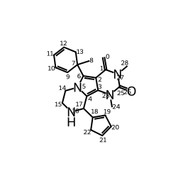 C=C1c2c(c3n(c2C2(C)C=CC=CC2)CCNC3C2=CC=CC2)N(C)C(=O)N1C